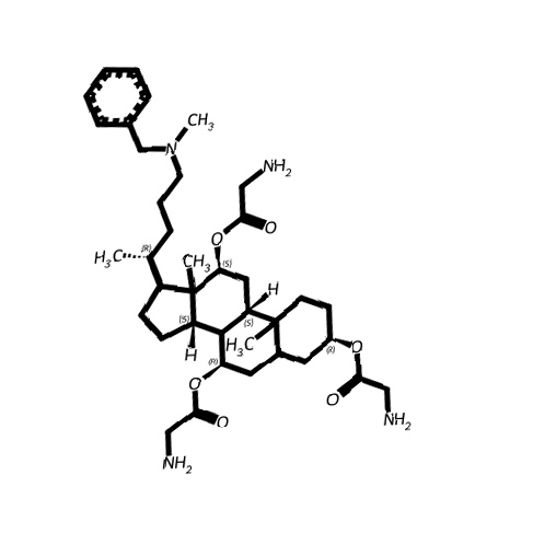 C[C@H](CCCN(C)Cc1ccccc1)C1CC[C@H]2C3[C@H](OC(=O)CN)CC4C[C@H](OC(=O)CN)CCC4(C)[C@H]3C[C@H](OC(=O)CN)C12C